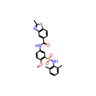 COc1ccc(NC(=O)c2ccc3sc(C)nc3c2)cc1S(=O)(=O)Nc1c(C)cccc1C